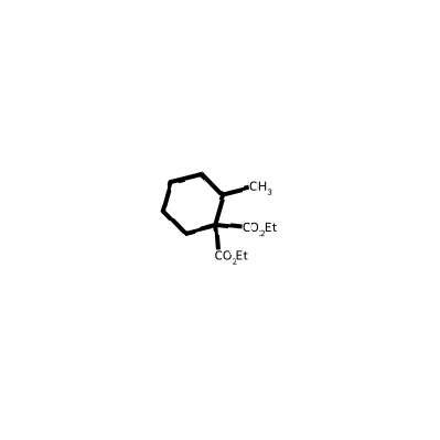 CCOC(=O)C1(C(=O)OCC)CCCCC1C